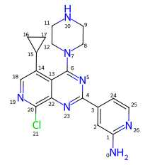 Nc1cc(-c2nc(N3CCNCC3)c3c(C4CC4)cnc(Cl)c3n2)ccn1